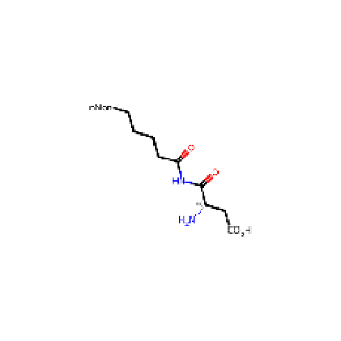 CCCCCCCCCCCCCC(=O)NC(=O)[C@@H](N)CC(=O)O